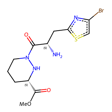 COC(=O)[C@@H]1CCCN(C(=O)[C@@H](N)Cc2nc(Br)cs2)N1